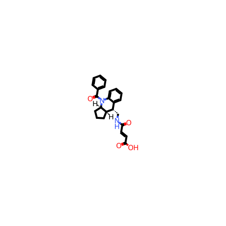 O=C(O)/C=C/C(=O)NC[C@H]1c2ccccc2N(C(=O)c2ccccc2)[C@@H]2CCC[C@@H]21